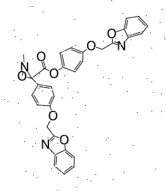 CN1OC1(C(=O)Oc1ccc(OCc2nc3ccccc3o2)cc1)c1ccc(OCc2nc3ccccc3o2)cc1